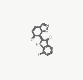 O=C1C=CC2C=NOC2C1=C1Nc2c(F)cccc2C1=O